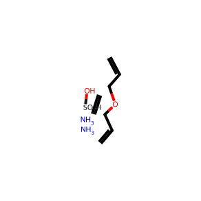 C=C.C=CCOCC=C.N.N.O=S(=O)(O)O